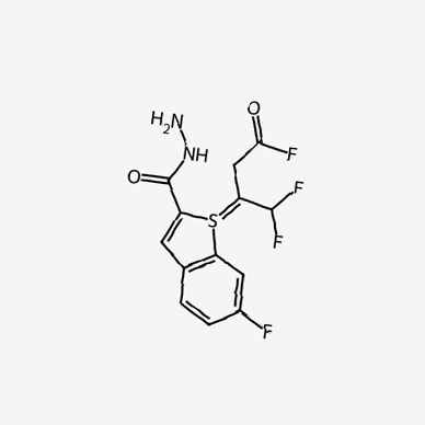 NNC(=O)C1=Cc2ccc(F)cc2S1=C(CC(=O)F)C(F)F